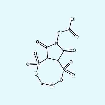 CCC(=O)ON1C(=O)C2C(C1=O)S(=O)(=O)OSSOS2(=O)=O